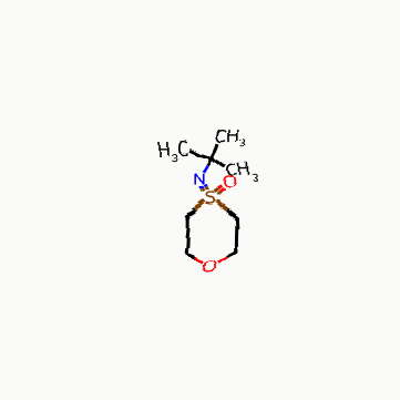 CC(C)(C)N=S1(=O)CCOCC1